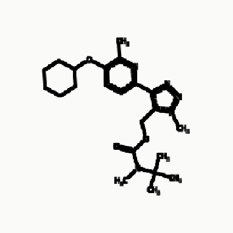 Cc1nc(-c2nnn(C)c2COC(=O)N(C)C(C)(C)C)ccc1OC1CCCCC1